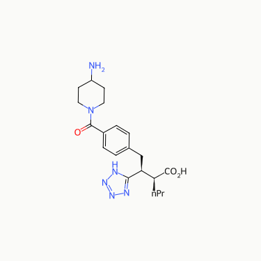 CCC[C@H](C(=O)O)[C@H](Cc1ccc(C(=O)N2CCC(N)CC2)cc1)c1nnn[nH]1